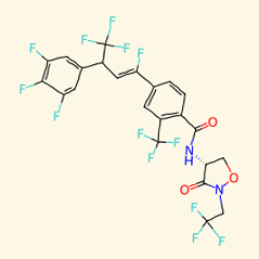 O=C(N[C@@H]1CON(CC(F)(F)F)C1=O)c1ccc(/C(F)=C/C(c2cc(F)c(F)c(F)c2)C(F)(F)F)cc1C(F)(F)F